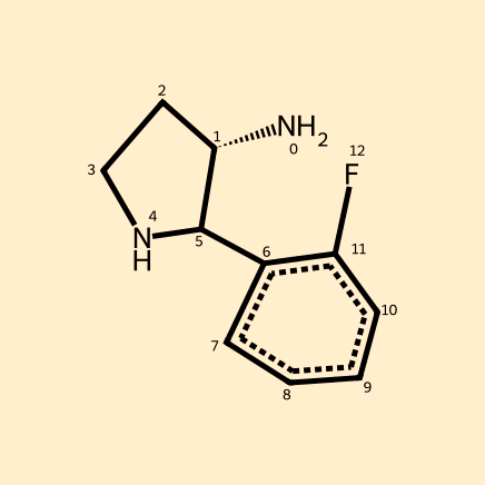 N[C@H]1CCNC1c1ccccc1F